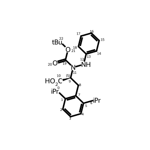 CC(C)c1cccc(C(C)C)c1C[C@@H](C(=O)O)N(Nc1ccccc1)C(=O)OC(C)(C)C